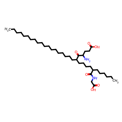 CCCCCCCCCCCCCCCCCCCC(CCCCC(CCCCCC)C(=O)NCC(=O)O)C(=O)C(N)CCC(=O)O